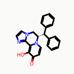 O=c1ccn2c(c1O)-c1nccn1C[C@@H]2C(c1ccccc1)c1ccccc1